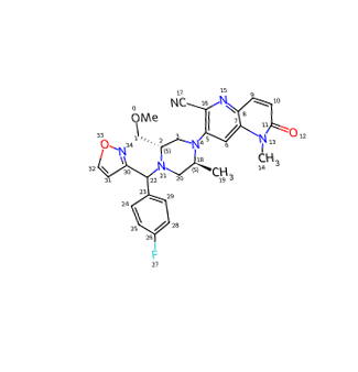 COC[C@@H]1CN(c2cc3c(ccc(=O)n3C)nc2C#N)[C@@H](C)CN1C(c1ccc(F)cc1)c1ccon1